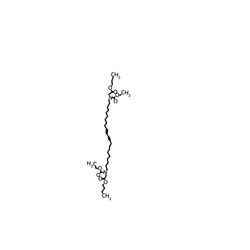 CCCCOC(=O)CN(CCCCCCCCCC#CC#CCCCCCCCCCN(CC(=O)OCCCC)C(=O)OCC)C(=O)OCC